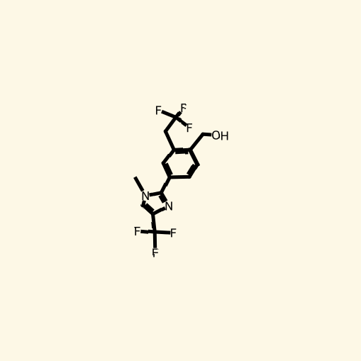 Cn1cc(C(F)(F)F)nc1-c1ccc(CO)c(CC(F)(F)F)c1